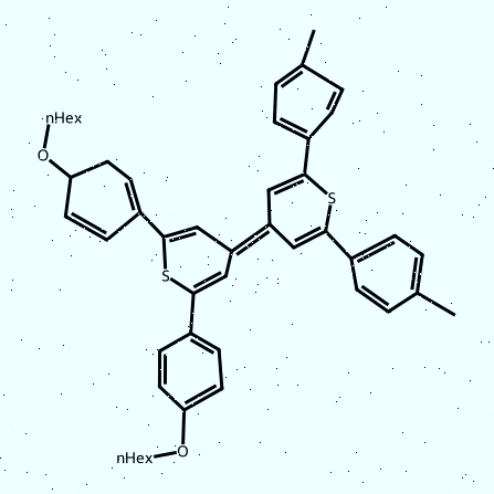 CCCCCCOc1ccc(C2=CC(=C3C=C(c4ccc(C)cc4)SC(c4ccc(C)cc4)=C3)C=C(C3=CCC(OCCCCCC)C=C3)S2)cc1